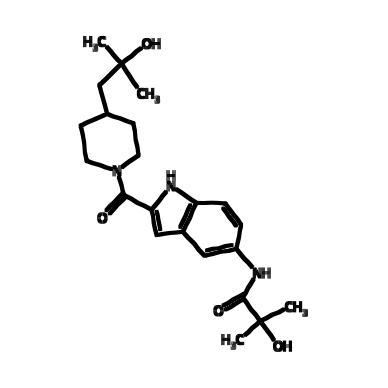 CC(C)(O)CC1CCN(C(=O)c2cc3cc(NC(=O)C(C)(C)O)ccc3[nH]2)CC1